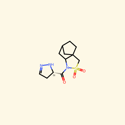 O=C([C@@H]1CC=NN1)N1C2CC3CCC2(C3)CS1(=O)=O